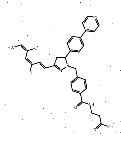 C\C=C(Cl)/C=C(Cl)\C=C\C1=NN(Cc2ccc(C(=O)NCCC(=O)O)cc2)C(c2ccc(-c3ccncc3)cc2)C1